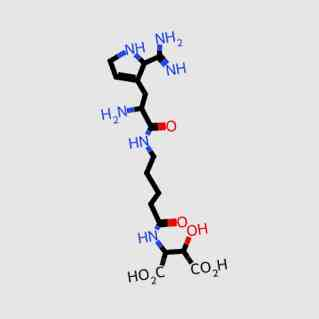 N=C(N)C1NCC=C1CC(N)C(=O)NCCCCC(=O)NC(C(=O)O)C(O)C(=O)O